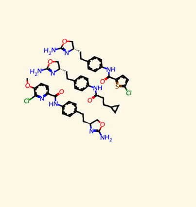 COc1ccc(C(=O)Nc2ccc(CC[C@H]3COC(N)=N3)cc2)nc1Cl.NC1=N[C@@H](CCc2ccc(NC(=O)CCC3CC3)cc2)CO1.NC1=N[C@@H](CCc2ccc(NC(=O)c3ccc(Cl)s3)cc2)CO1